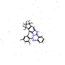 Cc1cc(C)c(B2Nc3ccccc3-c3nc4cc5c(cc4n32)C(C)(C)C(C)(C)C5(C)C)c(C)c1